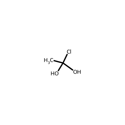 CC(O)(O)Cl